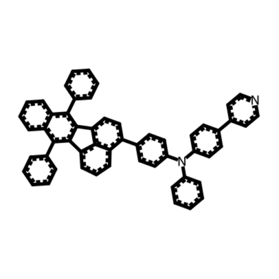 c1ccc(-c2c3c(c(-c4ccccc4)c4ccccc24)-c2ccc(-c4ccc(N(c5ccccc5)c5ccc(-c6ccncc6)cc5)cc4)c4cccc-3c24)cc1